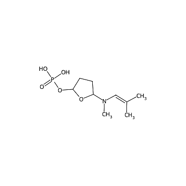 CC(C)=CN(C)C1CCC(OP(=O)(O)O)O1